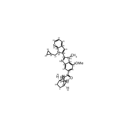 COc1cc(C(=O)N[C@@H]2[C@@H]3CC[C@H]2NC3)cc2nc(-c3cc4cccnc4n3CC3CC3)n(C)c12